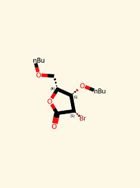 CCCCOC[C@H]1OC(=O)[C@@H](Br)[C@H]1OCCCC